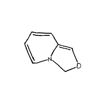 C1=CC2=COCN2C=C1